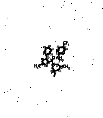 Cc1nc(C(=O)N2CC(F)(F)CC(C)[C@H]2CNc2ncc(C(F)(F)F)cn2)c(-c2ccccn2)s1